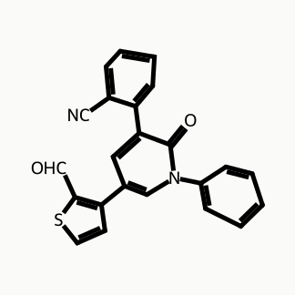 N#Cc1ccccc1-c1cc(-c2ccsc2C=O)cn(-c2ccccc2)c1=O